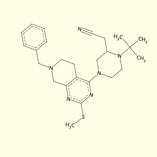 CSc1nc2c(c(N3CCN(C(C)(C)C)C(CC#N)C3)n1)CCN(Cc1ccccc1)C2